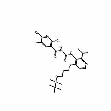 CC(C)c1nccc(OCCCO[Si](C)(C)C(C)(C)C)c1NC(=O)NC(=O)c1cc(F)c(Cl)nc1Cl